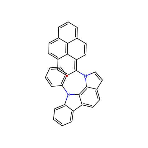 c1ccc(-n2c3ccccc3c3ccc4ccn(-c5ccc6ccc7cccc8ccc5c6c78)c4c32)cc1